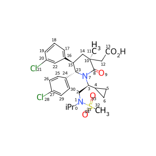 CC(C)N(C[C@H](C1CC1)N1C(=O)[C@](C)(CC(=O)O)C[C@H](c2cccc(Cl)c2)[C@H]1c1ccc(Cl)cc1)S(C)(=O)=O